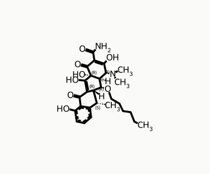 CCCCCCO[C@@H]1[C@H]2C(=C(O)[C@@]3(O)C(=O)C(C(N)=O)=C(O)[C@H](N(C)C)[C@@H]13)C(=O)c1c(O)cccc1[C@H]2C